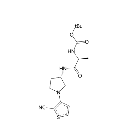 C[C@H](NC(=O)OC(C)(C)C)C(=O)N[C@H]1CCN(c2ccsc2C#N)C1